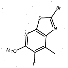 COc1nc2sc(Br)nc2c(C)c1F